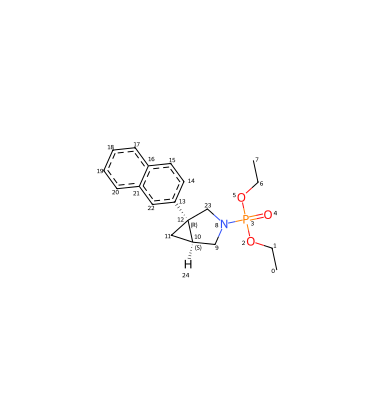 CCOP(=O)(OCC)N1C[C@H]2C[C@@]2(c2ccc3ccccc3c2)C1